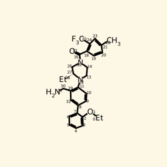 CCOc1ccccc1-c1ccc(N2CCN(C(=O)c3ccc(C)cc3C(F)(F)F)C[C@H]2CC)c(CN)c1